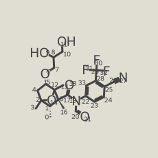 C[C@@H]1C2(C)C[C@H](OCC(O)CO)C(C)(O2)[C@]1(C)C(=O)N(C=O)c1ccc(C#N)c(C(F)(F)F)c1